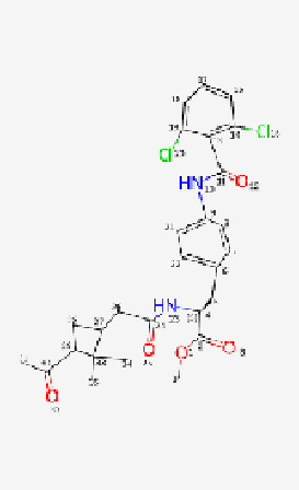 COC(=O)[C@H](Cc1ccc(NC(=O)c2c(Cl)cccc2Cl)cc1)NC(=O)CC1CC(C(C)=O)C1(C)C